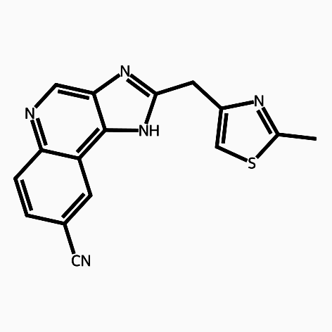 Cc1nc(Cc2nc3cnc4ccc(C#N)cc4c3[nH]2)cs1